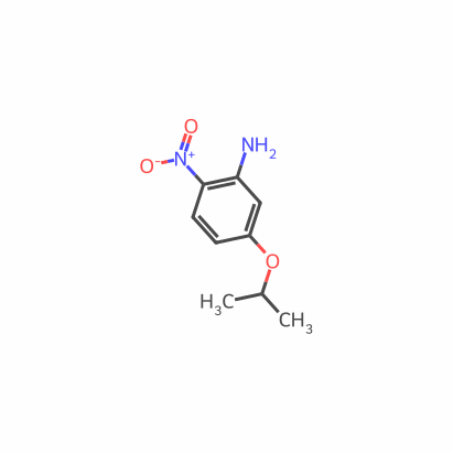 CC(C)Oc1ccc([N+](=O)[O-])c(N)c1